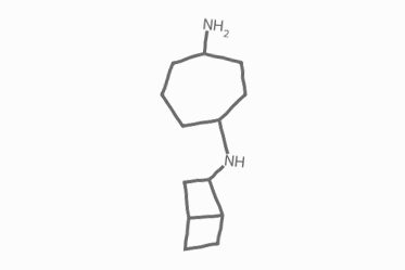 NC1CCCC(NC2CC3CCC32)CC1